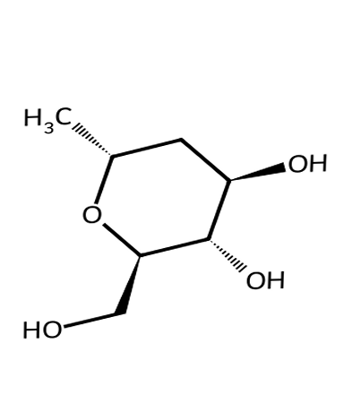 C[C@@H]1C[C@@H](O)[C@H](O)[C@@H](CO)O1